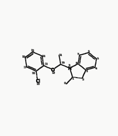 CC1Cc2ccccc2N1C(C)Oc1ccccc1Cl